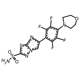 NS(=O)(=O)c1nn2cc(-c3c(F)c(F)c(N4CCOCC4)c(F)c3F)nc2s1